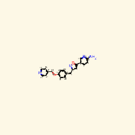 Nc1ccc(-c2cc(Cc3ccc(OCc4ccncc4)cc3)no2)cn1